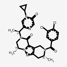 C[C@@H]1Cc2nn3c(c2CN1C(=O)c1ccc(Cl)c(Cl)c1)C(=O)N([C@@H](C)c1cn(C2CC2)c(=O)cn1)C[C@H]3C